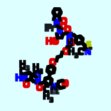 CCN(c1cc(-c2ccc(OCCCCOCCOc3cc(-c4scnc4C)ccc3CNC(=O)C3C[C@@H](O)CN3C(=O)[C@H](C(C)C)N3Cc4ccccc4C3=O)cc2)cc(C(=O)NCc2c(C)cc(C)[nH]c2=O)c1C)C1CCOCC1